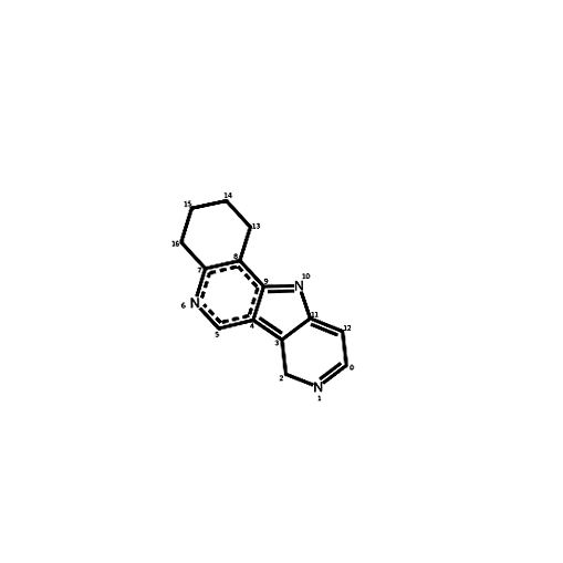 C1=NCC2=c3cnc4c(c3=NC2=C1)CCCC4